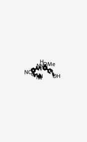 COc1cc(C2CCN(CCO)CC2)ccc1Nc1ncc(-c2ccc(C#N)c(OC(C)Cn3cnnn3)c2)cn1